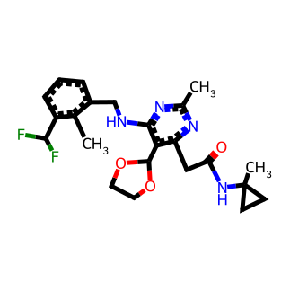 Cc1nc(CC(=O)NC2(C)CC2)c(C2OCCO2)c(NCc2cccc(C(F)F)c2C)n1